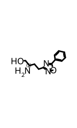 N[C@H](CO)CCc1noc(-c2ccccc2)n1